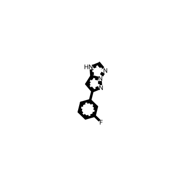 Fc1cccc(-c2cc3[nH][c]nn3n2)c1